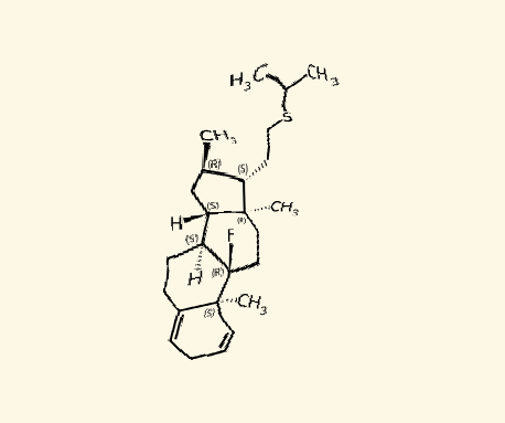 CC(C)SCC[C@H]1[C@H](C)C[C@H]2[C@@H]3CCC4=CCC=C[C@]4(C)[C@@]3(F)CC[C@]12C